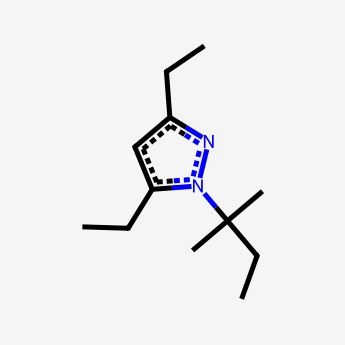 CCc1cc(CC)n(C(C)(C)CC)n1